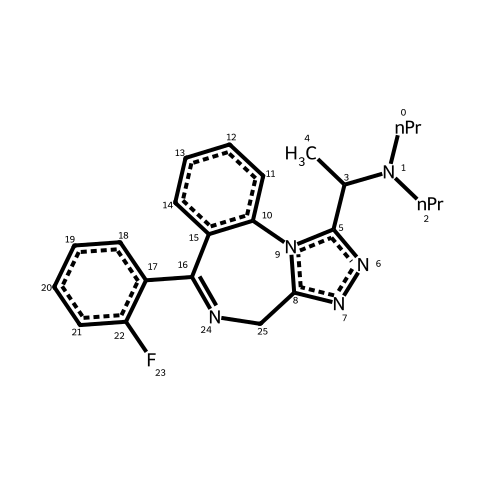 CCCN(CCC)C(C)c1nnc2n1-c1ccccc1C(c1ccccc1F)=NC2